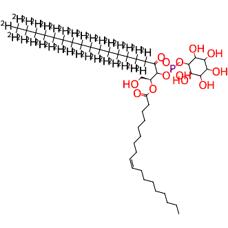 [2H]C([2H])([2H])C([2H])([2H])C([2H])([2H])C([2H])([2H])C([2H])([2H])C([2H])([2H])C([2H])([2H])C([2H])([2H])C([2H])([2H])C([2H])([2H])C([2H])([2H])C([2H])([2H])C([2H])([2H])C([2H])([2H])C([2H])([2H])C(=O)C(OP(=O)(O)OC1C(O)C(O)C(O)C(O)C1O)[C@H](CO)OC(=O)CCCCCCC/C=C\CCCCCCCC